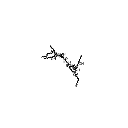 CCCCCC/C=C\CCCC(=O)O[C@H](CCCCCCC)CC(=O)NC(COCC[C@H](O)CCCCCCC)COP(=O)(O)OCCNC(=O)CCCCC(=O)NCCOP(=O)(O)OCC(COCC[C@H](O)CCCCCCC)NC(=O)C[C@@H](CCCCCCC)OC(=O)CCC/C=C\CCCCCC